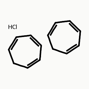 C1=CC=CCC=C1.C1=CC=CCC=C1.Cl